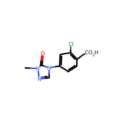 Cn1ncn(-c2ccc(C(=O)O)c(Cl)c2)c1=O